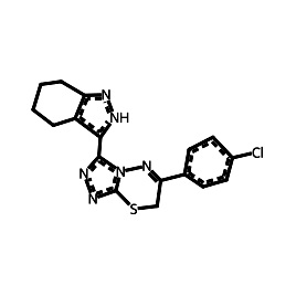 Clc1ccc(C2=Nn3c(nnc3-c3[nH]nc4c3CCCC4)SC2)cc1